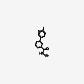 Cc1ccc(-c2cccc(C(=O)NC(C)C)c2)cn1